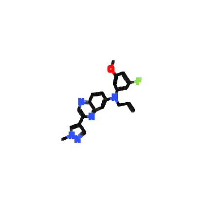 C=CCN(c1cc(F)cc(OC)c1)c1ccc2ncc(-c3cnn(C)c3)nc2c1